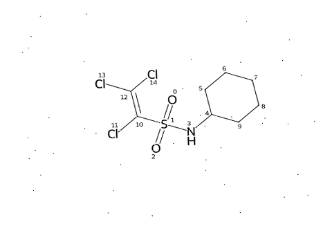 O=S(=O)(NC1CCCCC1)C(Cl)=C(Cl)Cl